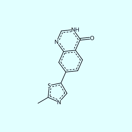 Cc1ncc(-c2ccc3c(=O)[nH]cnc3c2)s1